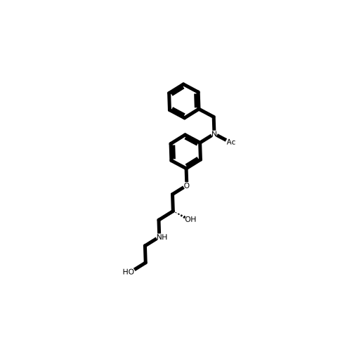 CC(=O)N(Cc1ccccc1)c1cccc(OC[C@H](O)CNCCO)c1